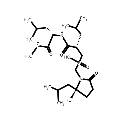 CNC(=O)[C@H](CC(C)C)NC(=O)[C@H](CC(C)C)CP(=O)(O)CN1C(=O)CC[C@]1(O)CC(C)C